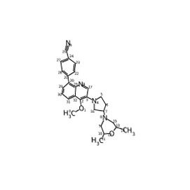 COc1c(N2CCC(N3CC(C)OC(C)C3)C2)cnc2c(-c3ccc(C#N)cc3)cccc12